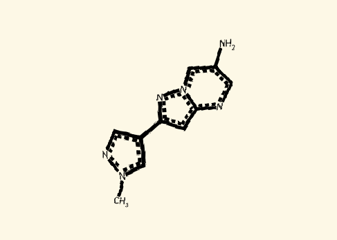 Cn1cc(-c2cc3ncc(N)cn3n2)cn1